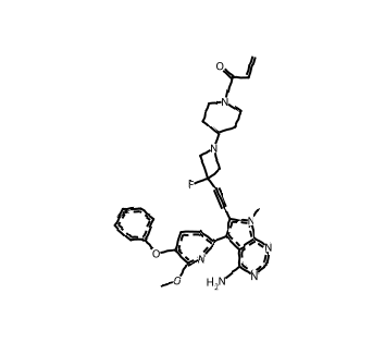 C=CC(=O)N1CCC(N2CC(F)(C#Cc3c(-c4ccc(Oc5ccccc5)c(OC)n4)c4c(N)ncnc4n3C)C2)CC1